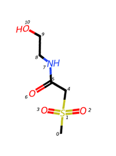 CS(=O)(=O)CC(=O)NCCO